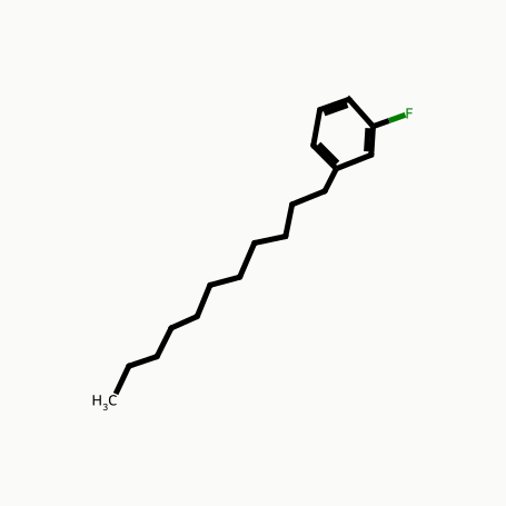 CCCCCCCCCCCc1cc[c]c(F)c1